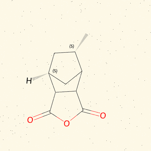 C[C@H]1C[C@H]2CC1C1C(=O)OC(=O)C12